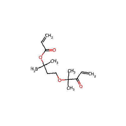 BC(C)(CCOC(C)(C)C(=O)C=C)OC(=O)C=C